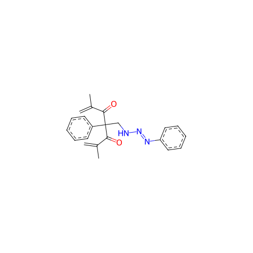 C=C(C)C(=O)C(CNN=Nc1ccccc1)(C(=O)C(=C)C)c1ccccc1